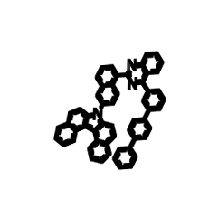 c1ccc(-c2ccc(-c3cccc(-c4nc(-c5cccc6cc(-n7c8ccc9ccccc9c8c8c9ccccc9ccc87)ccc56)nc5ccccc45)c3)cc2)cc1